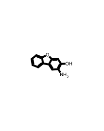 Nc1cc2c(cc1O)oc1ccccc12